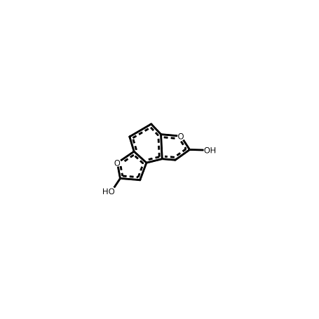 Oc1cc2c(ccc3oc(O)cc32)o1